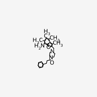 Cc1c(C)c(C)c2c(C)c(CN3CCN(C(=O)CCc4ccccc4)CC3)oc2c1N